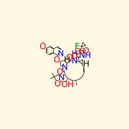 COc1ccc2c(O[C@@H]3C[C@H]4C(=O)N[C@]5(C(=O)NS(=O)(=O)C6(F)CC6)C[C@H]5C=CCC[C@@H](C)C[C@@H](C)[C@H](N(CC(C)(C)C)C(=O)O)C(=O)N4C3)nccc2c1